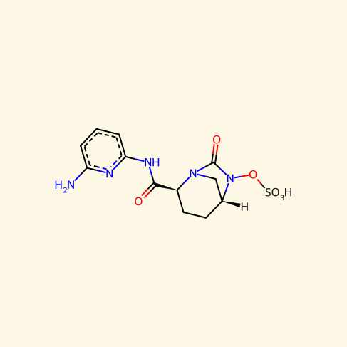 Nc1cccc(NC(=O)[C@@H]2CC[C@@H]3CN2C(=O)N3OS(=O)(=O)O)n1